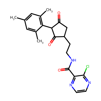 Cc1cc(C)c(C2C(=O)CC(CCNC(=O)c3nccnc3Cl)C2=O)c(C)c1